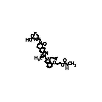 CNC(=O)OCCOc1cccc2cc(-c3nc4cc5c(cc4n3C)CCN(CC(CF)NC(=O)O)C5=O)n(CC3CC3)c12